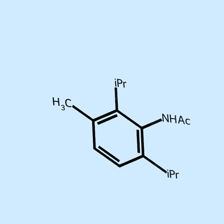 CC(=O)Nc1c(C(C)C)ccc(C)c1C(C)C